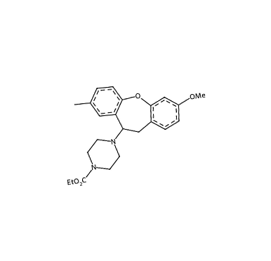 CCOC(=O)N1CCN(C2Cc3ccc(OC)cc3Oc3ccc(C)cc32)CC1